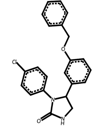 O=C1NCC(c2cccc(OCc3ccccc3)c2)N1c1ccc(Cl)cc1